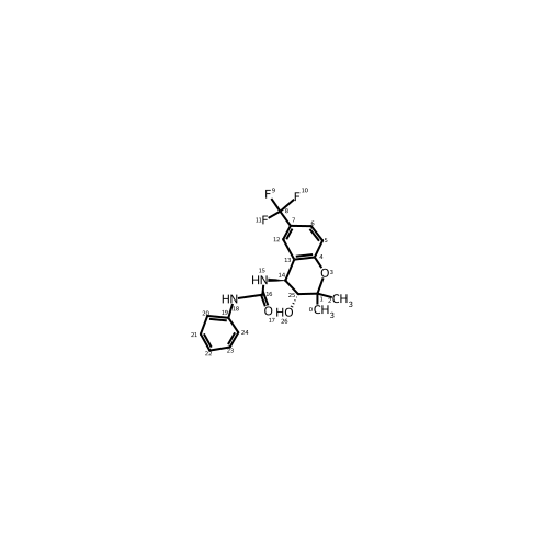 CC1(C)Oc2ccc(C(F)(F)F)cc2[C@H](NC(=O)Nc2ccccc2)[C@H]1O